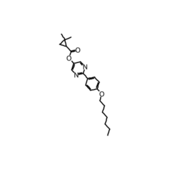 CCCCCCCOc1ccc(-c2ncc(OC(=O)C3CC3(C)C)cn2)cc1